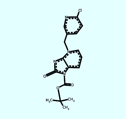 CC(C)(C)OC(=O)n1c2cccn(Cc3ccc(Cl)nc3)c-2nc1=O